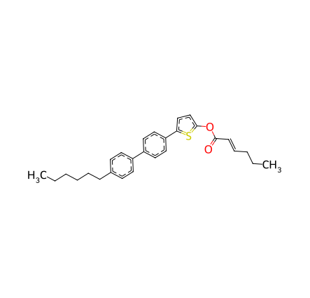 CCCC=CC(=O)Oc1ccc(-c2ccc(-c3ccc(CCCCCC)cc3)cc2)s1